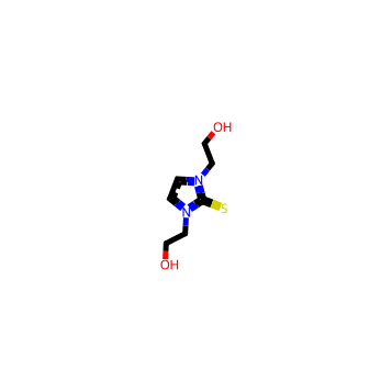 OCCn1ccn(CCO)c1=S